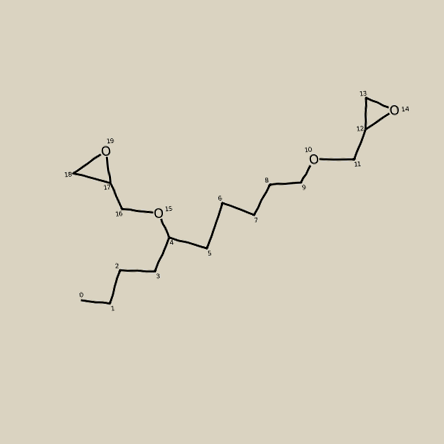 CCCCC(CCCCCOCC1CO1)OCC1CO1